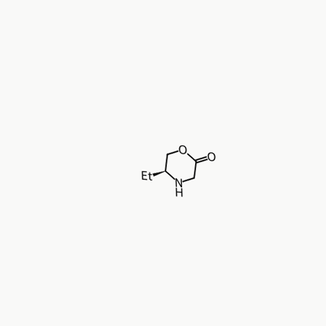 CC[C@H]1COC(=O)CN1